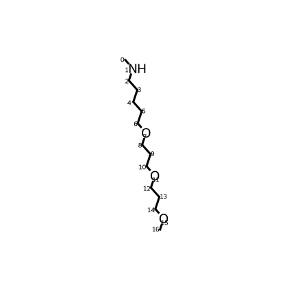 CNCCCCCOCCCOCCCOC